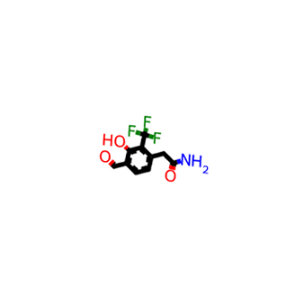 NC(=O)Cc1ccc(C=O)c(O)c1C(F)(F)F